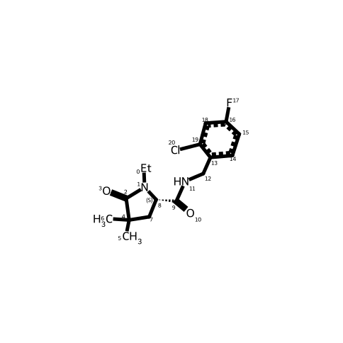 CCN1C(=O)C(C)(C)C[C@H]1C(=O)NCc1ccc(F)cc1Cl